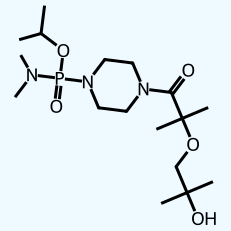 CC(C)OP(=O)(N(C)C)N1CCN(C(=O)C(C)(C)OCC(C)(C)O)CC1